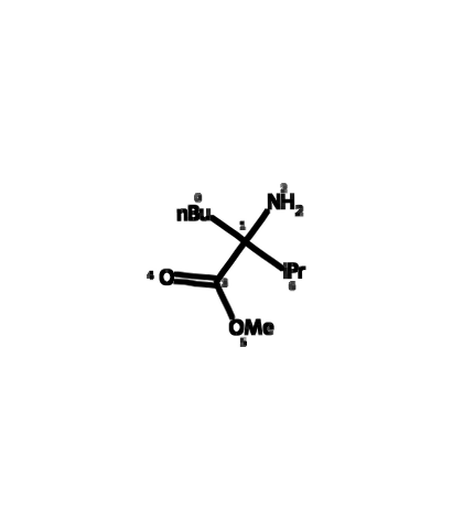 CCCCC(N)(C(=O)OC)C(C)C